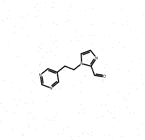 O=Cc1nccn1CCc1cncnc1